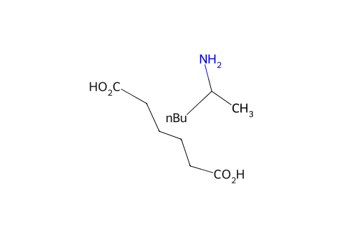 CCCCC(C)N.O=C(O)CCCCC(=O)O